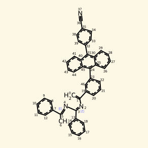 C=C(/N=C(\N=C(/C)c1ccccc1)c1ccccc1)c1cccc(-c2c3ccccc3c(-c3ccc(C#N)cc3)c3ccccc23)c1